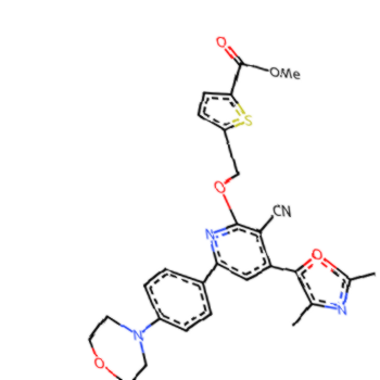 COC(=O)c1ccc(COc2nc(-c3ccc(N4CCOCC4)cc3)cc(-c3oc(C)nc3C)c2C#N)s1